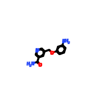 NC(=O)c1cncc(COc2cccc(N)c2)c1